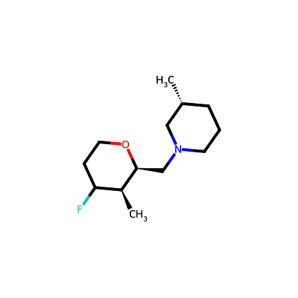 C[C@@H]1CCCN(C[C@@H]2OCCC(F)[C@@H]2C)C1